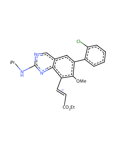 CCOC(=O)/C=C/c1c(OC)c(-c2ccccc2Cl)cc2cnc(NC(C)C)nc12